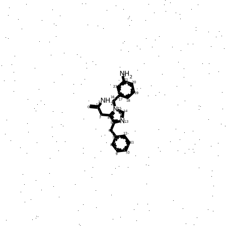 C=C(N)Cc1c(Cc2ccccc2)ncn1Cc1cccc(N)c1